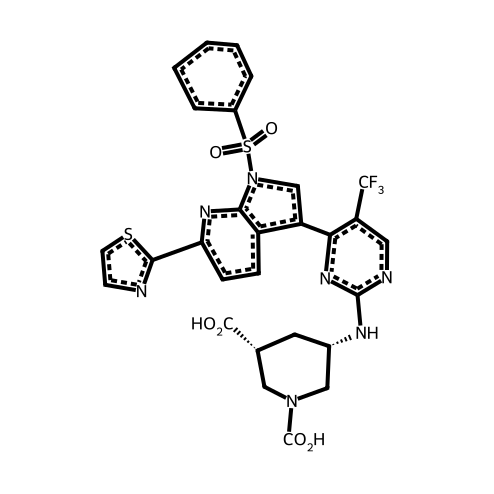 O=C(O)[C@@H]1C[C@H](Nc2ncc(C(F)(F)F)c(-c3cn(S(=O)(=O)c4ccccc4)c4nc(-c5nccs5)ccc34)n2)CN(C(=O)O)C1